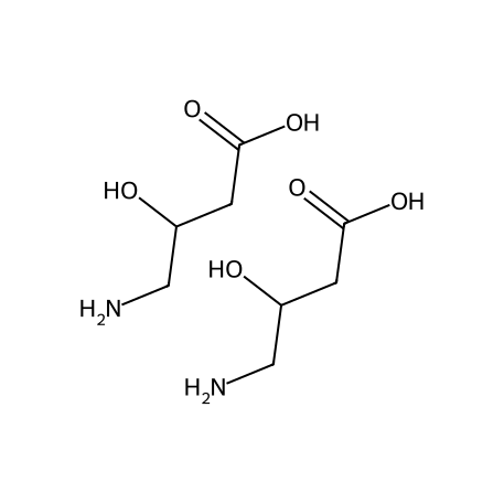 NCC(O)CC(=O)O.NCC(O)CC(=O)O